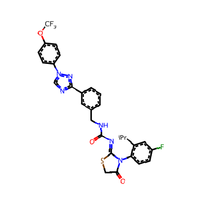 CC(C)c1cc(F)ccc1N1C(=O)CS/C1=N\C(=O)NCc1cccc(-c2ncn(-c3ccc(OC(F)(F)F)cc3)n2)c1